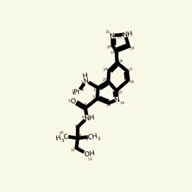 CC(C)Nc1c(C(=O)NCC(C)(C)CO)cnc2ccc(-c3cn[nH]c3)cc12